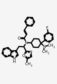 Cc1cnc(C(Cc2c[nH]c3ccccc23)N(C(=O)C=Cc2ccccc2)C2CCC(c3cccc(F)c3)(N(C)C)CC2)o1